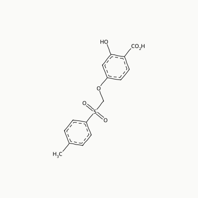 Cc1ccc(S(=O)(=O)COc2ccc(C(=O)O)c(O)c2)cc1